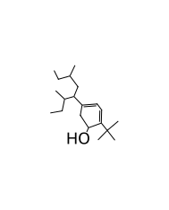 CCC(C)CC(C1=CC=C(C(C)(C)C)C(O)C1)C(C)CC